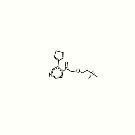 C[Si](C)(C)CCOCNc1ccncc1C1=CCC=C1